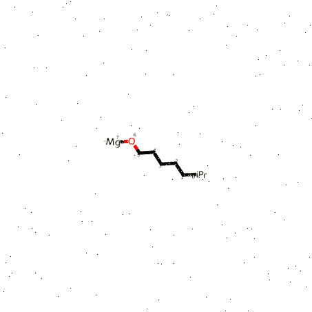 CC(C)CCCCC[O][Mg]